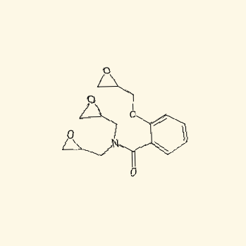 O=C(c1ccccc1OCC1CO1)N(CC1CO1)CC1CO1